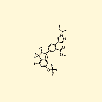 CCC(C)n1cc(-c2ccc(NC(=O)C3(c4ccc(OC(F)(F)F)cc4F)CC3)cc2C(=O)OC)cn1